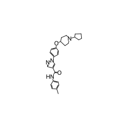 Cc1ccc(NC(=O)c2cnn(-c3ccc(OC4CCN(C5CCCC5)CC4)cc3)c2)cc1